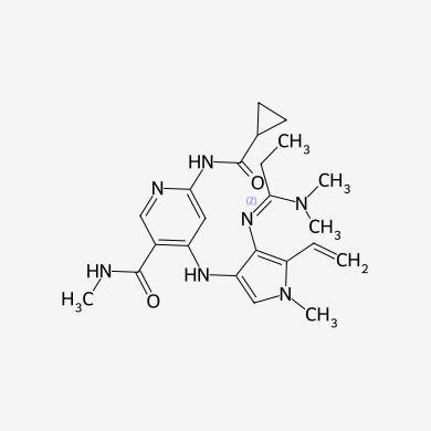 C=Cc1c(/N=C(/CC)N(C)C)c(Nc2cc(NC(=O)C3CC3)ncc2C(=O)NC)cn1C